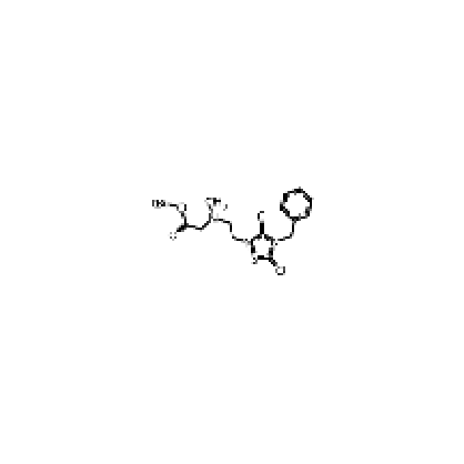 CN(CCn1sc(=O)n(Cc2ccccc2)c1=O)CC(=O)OC(C)(C)C